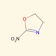 O=[N+]([O-])C1=N[CH]CO1